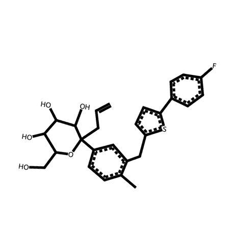 C=CCC1(c2ccc(C)c(Cc3ccc(-c4ccc(F)cc4)s3)c2)OC(CO)C(O)C(O)C1O